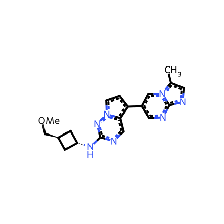 COC[C@H]1C[C@H](Nc2ncc3c(-c4cnc5ncc(C)n5c4)ccn3n2)C1